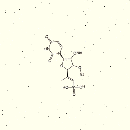 CCOC1C(OC)[C@H](n2ccc(=O)[nH]c2=O)O[C@@H]1/C(C)=C/P(=O)(O)O